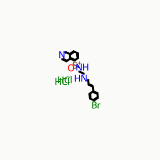 Cl.Cl.[O-][S+](NCCNCC=Cc1ccc(Br)cc1)c1cccc2cnccc12